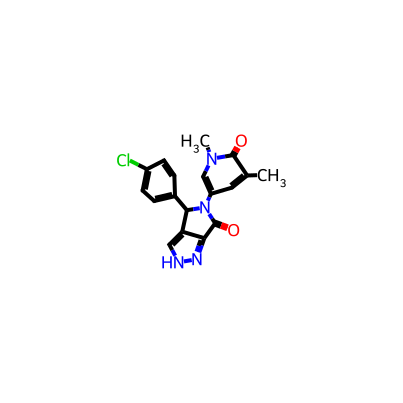 Cc1cc(N2C(=O)c3n[nH]cc3C2c2ccc(Cl)cc2)cn(C)c1=O